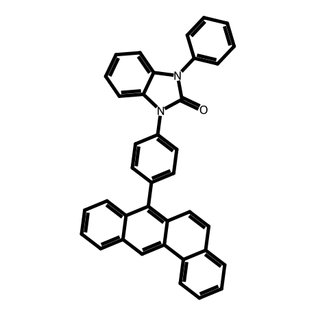 O=c1n(-c2ccccc2)c2ccccc2n1-c1ccc(-c2c3ccccc3cc3c2ccc2ccccc23)cc1